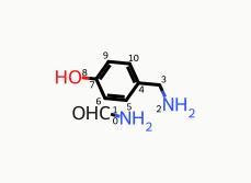 NC=O.NCc1ccc(O)cc1